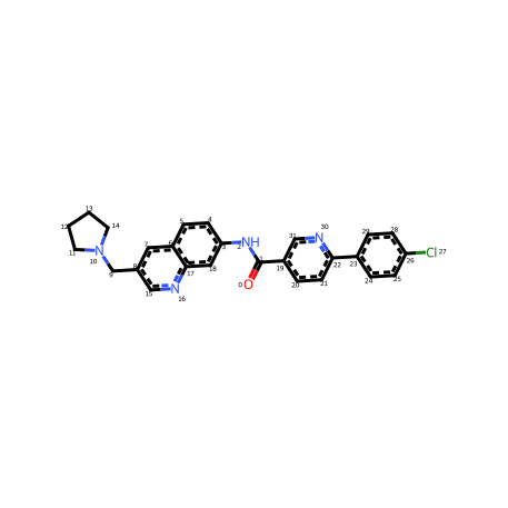 O=C(Nc1ccc2cc(CN3CCCC3)cnc2c1)c1ccc(-c2ccc(Cl)cc2)nc1